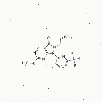 C=CCn1c(=O)c2cnc(SC)nc2n1-c1cccc(C(F)(F)F)n1